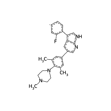 Cc1cc(-c2cnc3[nH]cc(-c4cc[c]cc4F)c3c2)cc(C)c1N1CCN(C)CC1